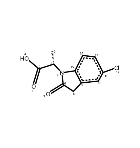 C[C@@H](C(=O)O)N1C(=O)Cc2cc(Cl)ccc21